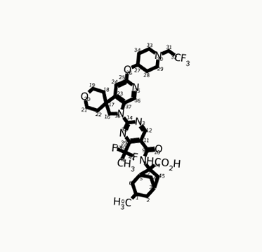 CC1CC2CC(C1)C(NC(=O)c1cnc(N3CC4(CCOCC4)c4cc(OC5CCN(CC(F)(F)F)CC5)ncc43)nc1C(C)(F)F)(C(=O)O)C2